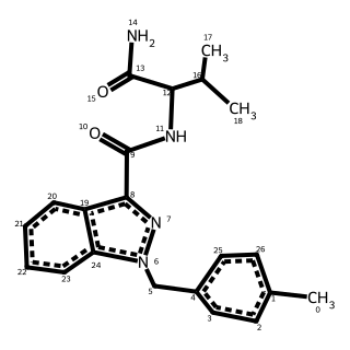 Cc1ccc(Cn2nc(C(=O)NC(C(N)=O)C(C)C)c3ccccc32)cc1